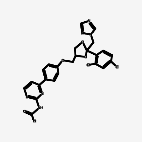 CCC(=O)Nc1nccc(-c2ccc(OCC3COC(Cn4cncn4)(c4ccc(Cl)cc4Cl)O3)cc2)n1